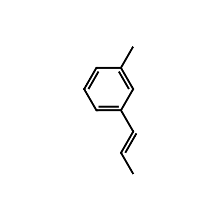 C/C=C/c1cccc(C)c1